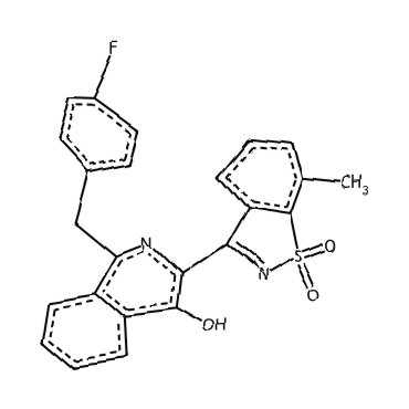 Cc1cccc2c1S(=O)(=O)N=C2c1nc(Cc2ccc(F)cc2)c2ccccc2c1O